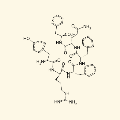 N=C(N)NCCC[C@@H](NC(=O)[C@@H](N)Cc1ccc(O)cc1)C(=O)N[C@@H](Cc1ccccc1)C(=O)N[C@@H](Cc1ccccc1)C(=O)N[C@@H](CCC(N)=O)C(=O)N[C@@H](Cc1ccccc1)C(=O)O